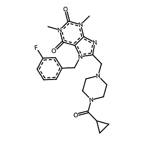 Cn1c(=O)c2c(nc(CN3CCN(C(=O)C4CC4)CC3)n2Cc2cccc(F)c2)n(C)c1=O